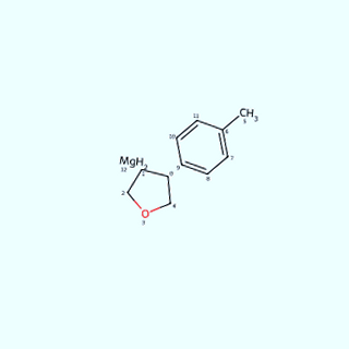 C1CCOC1.Cc1ccccc1.[MgH2]